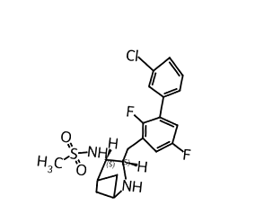 CS(=O)(=O)N[C@H]1C2CC(C2)N[C@H]1Cc1cc(F)cc(-c2cccc(Cl)c2)c1F